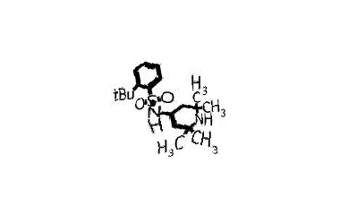 CC1(C)CC(NS(=O)(=O)c2ccccc2C(C)(C)C)CC(C)(C)N1